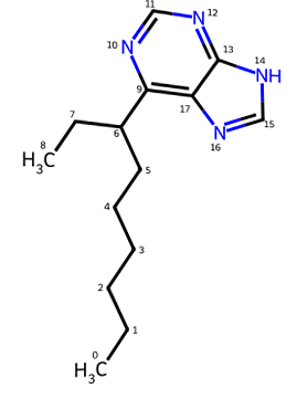 CCCCCCC(CC)c1ncnc2[nH]cnc12